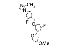 COC1CCOC(c2cc(F)cc(OCc3ccc(-n4ccnc4C)cc3F)c2)C1